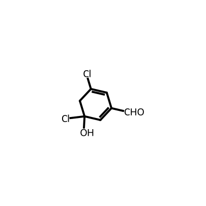 O=CC1=CC(O)(Cl)CC(Cl)=C1